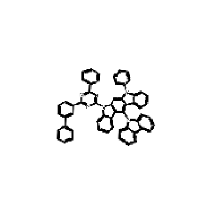 c1ccc(-c2cccc(-c3nc(-c4ccccc4)nc(-n4c5ccccc5c5c(-n6c7ccccc7c7ccccc76)c6c7ccccc7n(-c7ccccc7)c6cc54)n3)c2)cc1